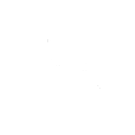 O=C(OCCN1CCCC1)c1ccc(Cc2c(O)c3ccccc3oc2=O)cc1